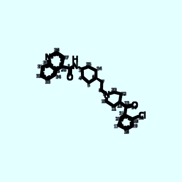 O=C(N[C@H]1CC[C@H](CCN2CCC(C(=O)c3ccccc3Cl)CC2)CC1)c1ccnc2ccccc12